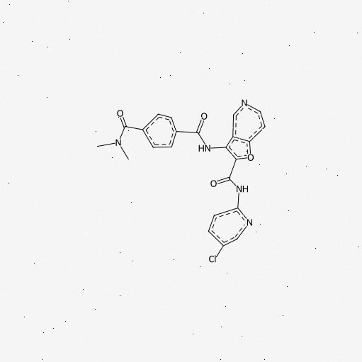 CN(C)C(=O)c1ccc(C(=O)Nc2c(C(=O)Nc3ccc(Cl)cn3)oc3ccncc23)cc1